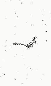 CCCCCCCCCCCCCCCCS(=O)(=O)Nc1ccc(CP(=O)(OCC)OCC)cc1